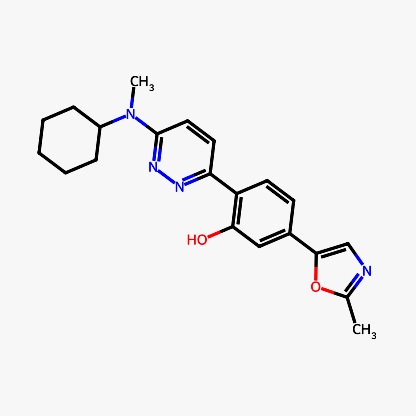 Cc1ncc(-c2ccc(-c3ccc(N(C)C4CCCCC4)nn3)c(O)c2)o1